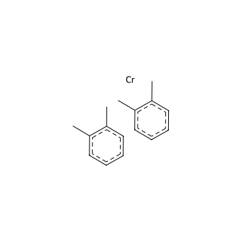 Cc1ccccc1C.Cc1ccccc1C.[Cr]